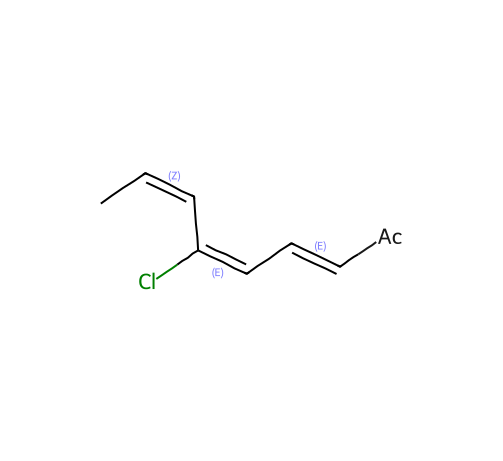 C\C=C/C(Cl)=C\C=C\C(C)=O